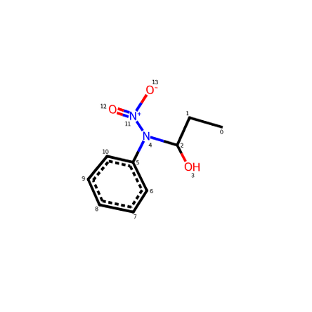 CCC(O)N(c1ccccc1)[N+](=O)[O-]